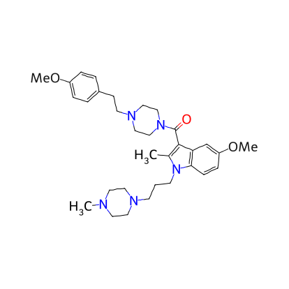 COc1ccc(CCN2CCN(C(=O)c3c(C)n(CCCN4CCN(C)CC4)c4ccc(OC)cc34)CC2)cc1